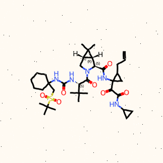 C=CCC1CC1(NC(=O)[C@@H]1[C@@H]2[C@H](CN1C(=O)[C@@H](NC(=O)NC1(CS(=O)(=O)C(C)(C)C)CCCCC1)C(C)(C)C)C2(C)C)C(=O)C(=O)NC1CC1